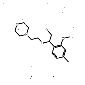 [CH2]c1ccc(C(C[O])OCCN2CCOCC2)c(OC)c1